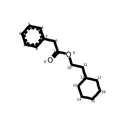 O=C(Cc1ccccc1)OCCC1CCCCC1